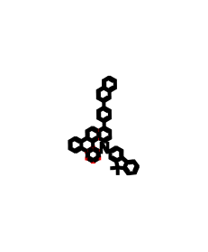 CC1(C)c2ccccc2-c2ccc(N(c3ccc(-c4ccc(-c5ccc6ccccc6c5)cc4)cc3)c3ccccc3-c3ccccc3-c3ccccc3-c3ccccc3)cc21